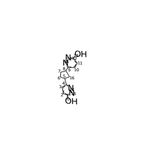 Oc1ccc(C2CCC(c3ccc(O)nn3)C2)nn1